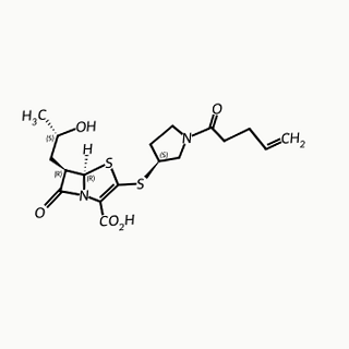 C=CCCC(=O)N1CC[C@H](SC2=C(C(=O)O)N3C(=O)[C@@H](C[C@H](C)O)[C@H]3S2)C1